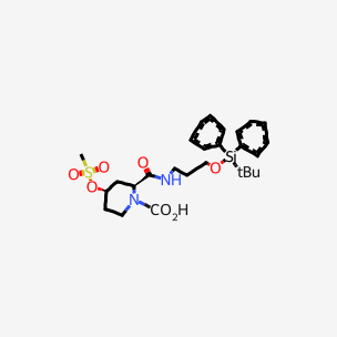 CC(C)(C)[Si](OCCCNC(=O)[C@@H]1C[C@H](OS(C)(=O)=O)CCN1C(=O)O)(c1ccccc1)c1ccccc1